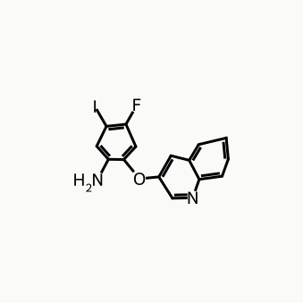 Nc1cc(I)c(F)cc1Oc1cnc2ccccc2c1